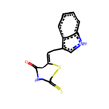 O=C1NC(=S)S/C1=C\c1c[nH]c2ccccc12